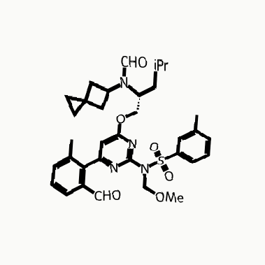 COCN(c1nc(OC[C@@H](CC(C)C)N(C=O)C2CC3(CC3)C2)cc(-c2c(C)cccc2C=O)n1)S(=O)(=O)c1cccc(C)c1